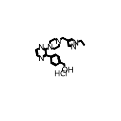 CCn1cc(CN2CCN(c3nccnc3-c3ccc(CO)cc3)CC2)cn1.Cl